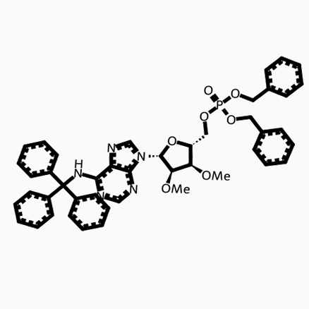 CO[C@@H]1[C@H](OC)[C@@H](COP(=O)(OCc2ccccc2)OCc2ccccc2)O[C@H]1n1cnc2c(NC(c3ccccc3)(c3ccccc3)c3ccccc3)ncnc21